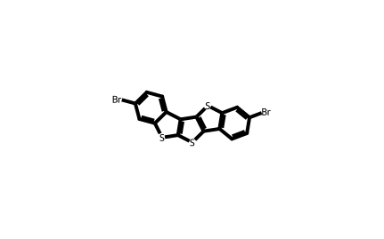 Brc1ccc2c(c1)sc1c2sc2sc3cc(Br)ccc3c21